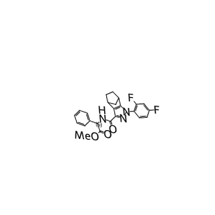 COC(=O)[C@@H](NC(=O)c1nn(-c2ccc(F)cc2F)c2c1C1CCC2C1)c1ccccc1